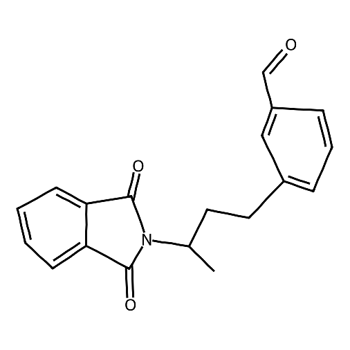 CC(CCc1cccc(C=O)c1)N1C(=O)c2ccccc2C1=O